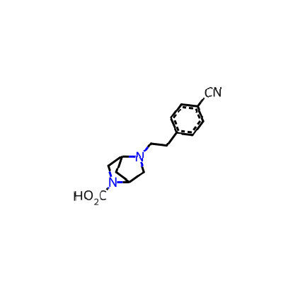 N#Cc1ccc(CCN2CC3CC2CN3C(=O)O)cc1